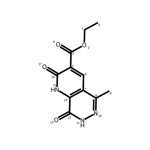 CCOC(=O)c1cc2c(C)n[nH]c(=O)c2[nH]c1=O